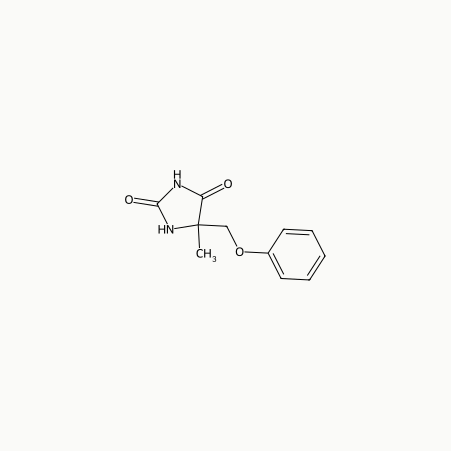 CC1(COc2ccccc2)NC(=O)NC1=O